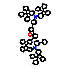 c1ccc(-c2cccc(N(c3ccc4c(c3)C(c3ccccc3)(c3ccccc3)c3ccccc3-4)c3ccc4c(c3)C(c3ccccc3)(c3ccc(-c5cccc6c5oc5ccc(-c7ccc(N(c8ccc9c(c8)C(c8ccccc8)(c8ccccc8)c8ccccc8-9)c8ccc9c(c8)C(c8ccccc8)(c8ccccc8)c8ccccc8-9)cc7)cc56)cc3)c3ccccc3-4)c2)cc1